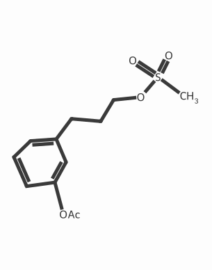 CC(=O)Oc1cccc(CCCOS(C)(=O)=O)c1